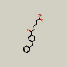 O=C(O)CCCCC(=O)c1ccc(Cc2ccccc2)cc1